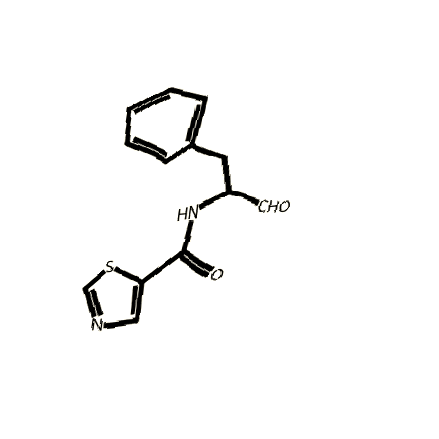 O=CC(Cc1ccccc1)NC(=O)c1cncs1